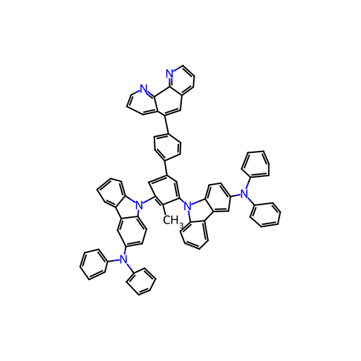 Cc1c(-n2c3ccccc3c3cc(N(c4ccccc4)c4ccccc4)ccc32)cc(-c2ccc(-c3cc4cccnc4c4ncccc34)cc2)cc1-n1c2ccccc2c2cc(N(c3ccccc3)c3ccccc3)ccc21